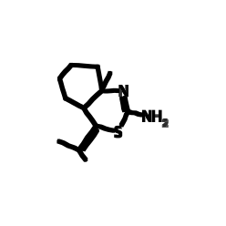 CC(C)=C1SC(N)=NC2(C)CCCCC12